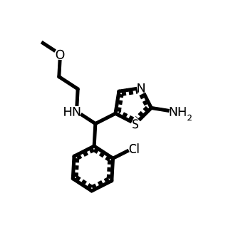 COCCNC(c1cnc(N)s1)c1ccccc1Cl